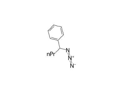 CCCC(N=[N+]=[N-])c1ccccc1